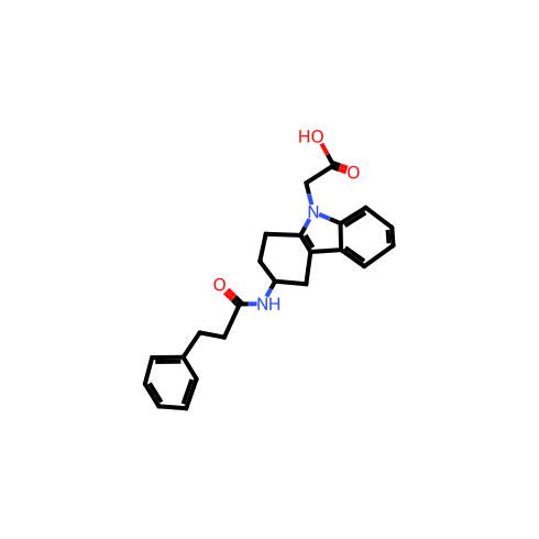 O=C(O)Cn1c2c(c3ccccc31)CC(NC(=O)CCc1ccccc1)CC2